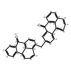 O=C1c2cc(Cc3ccc4c5c(cccc35)-c3ccccc3C4=O)ccc2-c2cccc3cccc1c23